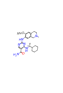 COc1cc2c(cc1Nc1ncc(C(N)=O)c(N[C@@H](C)C3CCCCC3)n1)CN(C)CC2